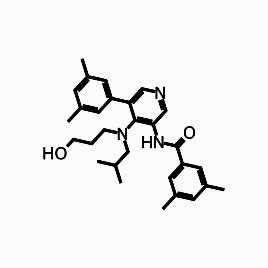 Cc1cc(C)cc(C(=O)Nc2cncc(-c3cc(C)cc(C)c3)c2N(CCCO)CC(C)C)c1